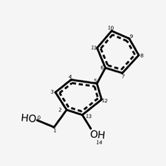 OCc1ccc(-c2ccccc2)cc1O